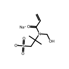 C=CC(=O)N(CO)C(C)(C)CS(=O)(=O)[O-].[Na+]